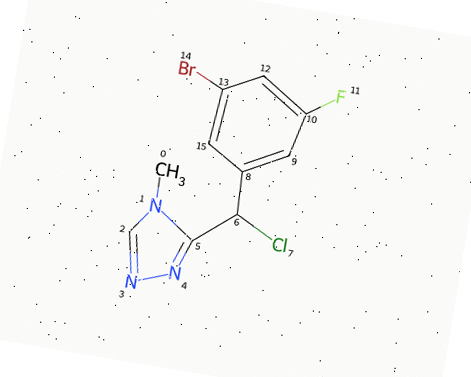 Cn1cnnc1C(Cl)c1cc(F)cc(Br)c1